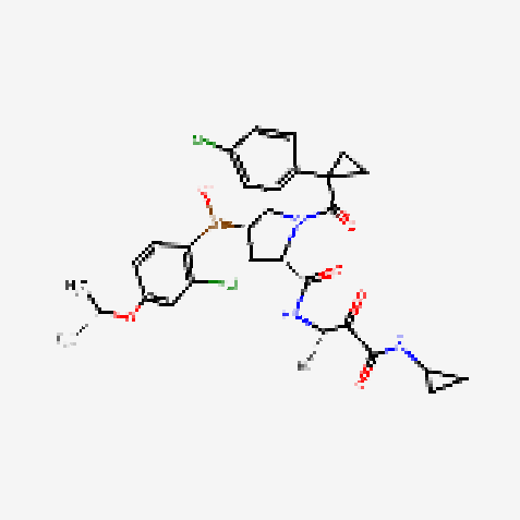 CC[C@H](NC(=O)[C@@H]1C[C@@H]([S+]([O-])c2ccc(O[C@@H](C)C(F)(F)F)cc2Cl)CN1C(=O)C1(c2ccc(Cl)cc2)CC1)C(=O)C(=O)NC1CC1